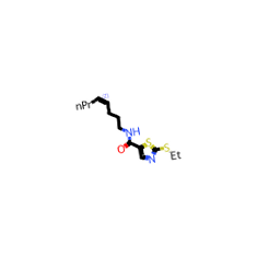 CCC/C=C\CCCNC(=O)c1cnc(SCC)s1